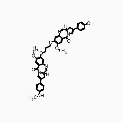 CNc1ccc(C2=CN3C(=O)c4cc(OC)c(OCCCOc5cc6c(cc5OC)C(=O)N5C=C(c7ccc(O)cc7)C[C@H]5C=N6)cc4N=C[C@@H]3C2)cc1